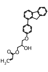 C=CC(=O)OCC(O)COc1ccc(-c2cccc3c2Cc2ccccc2-3)cc1